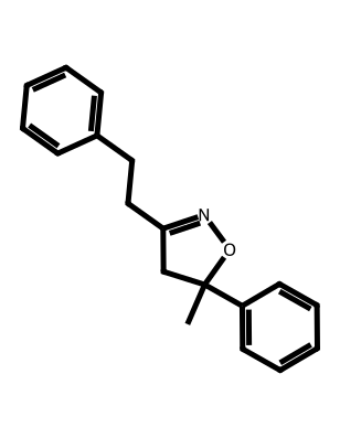 CC1(c2ccccc2)CC(CCc2ccccc2)=NO1